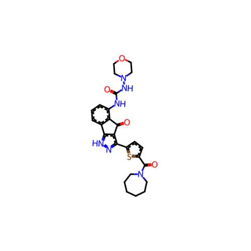 O=C(Nc1cccc2c1C(=O)c1c(-c3ccc(C(=O)N4CCCCCC4)s3)n[nH]c1-2)NN1CCOCC1